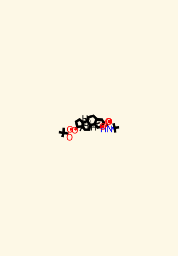 CC(C)(C)NC(=O)OC[C@]12CCC(=O)C=C1CC[C@@H]1[C@H]2CC[C@]2(C)C(OOC(=O)C(C)(C)C)CC[C@@H]12